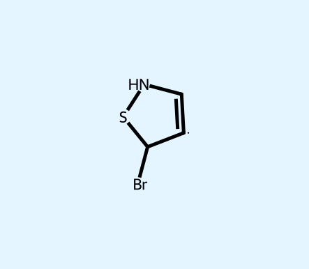 BrC1[C]=CNS1